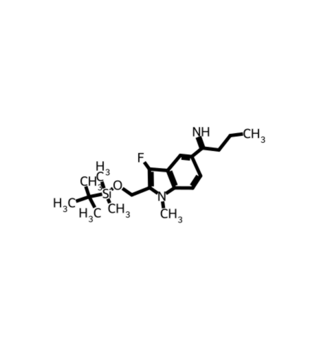 CCCC(=N)c1ccc2c(c1)c(F)c(CO[Si](C)(C)C(C)(C)C)n2C